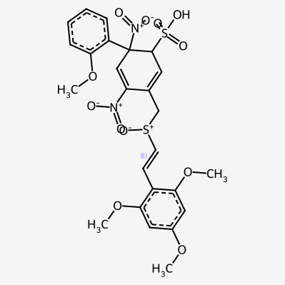 COc1cc(OC)c(/C=C/[S+]([O-])CC2=CC(S(=O)(=O)O)C(c3ccccc3OC)([N+](=O)[O-])C=C2[N+](=O)[O-])c(OC)c1